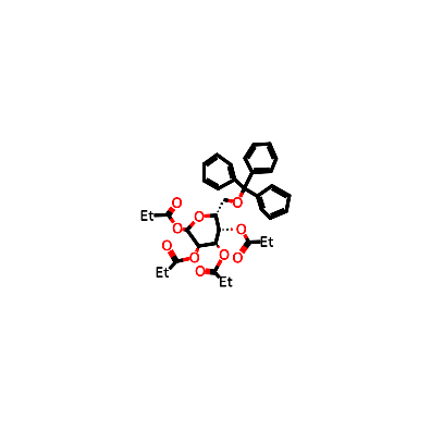 CCC(=O)OC1O[C@H](COC(c2ccccc2)(c2ccccc2)c2ccccc2)[C@H](OC(=O)CC)[C@H](OC(=O)CC)[C@H]1OC(=O)CC